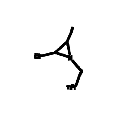 CC[CH]CN1C(C)C1CC